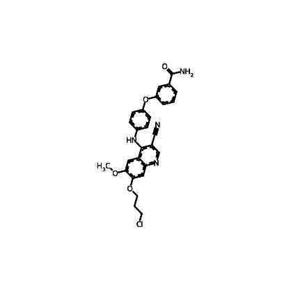 COc1cc2c(Nc3ccc(Oc4cccc(C(N)=O)c4)cc3)c(C#N)cnc2cc1OCCCCl